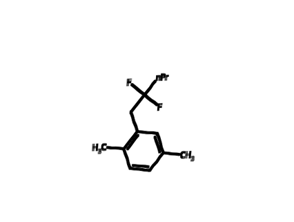 CCCC(F)(F)Cc1cc(C)ccc1C